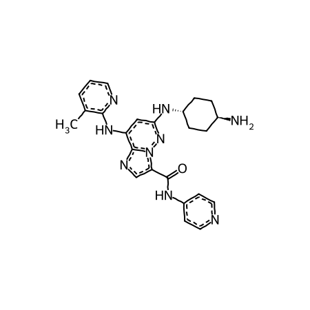 Cc1cccnc1Nc1cc(N[C@H]2CC[C@H](N)CC2)nn2c(C(=O)Nc3ccncc3)cnc12